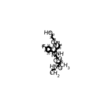 C=CCNC(=O)C1(C)COC(c2nc(-c3ccc(F)cc3)c(-c3ccnc(OCCCO)n3)[nH]2)OC1